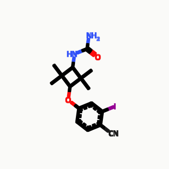 CC1(C)C(NC(N)=O)C(C)(C)C1Oc1ccc(C#N)c(I)c1